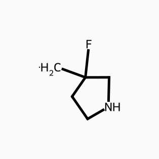 [CH2]C1(F)CCNC1